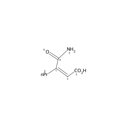 CCCC(=CC(=O)O)C(N)=O